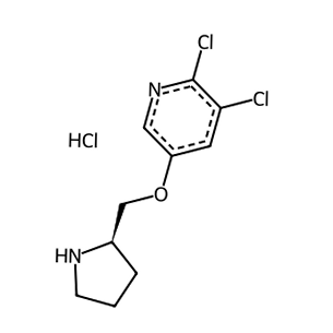 Cl.Clc1cc(OC[C@H]2CCCN2)cnc1Cl